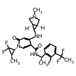 C[C@@H]1[C@@H](n2cc(C(=O)N[C@H](C)c3cccc(C(C)(F)F)c3F)c(NC3[C@H]4CN(C)C[C@@H]34)cc2=O)C1(F)F